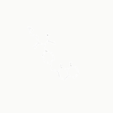 CCOC(=O)C(C(=O)O)N1CCC(CC2=CC=C3CCCNC3N2)CC1